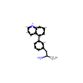 NC(Cc1cccc(-c2cccc3ncccc23)c1)C(=O)O